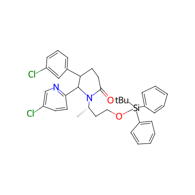 C[C@@H](CCO[Si](c1ccccc1)(c1ccccc1)C(C)(C)C)N1C(=O)CCC(c2cccc(Cl)c2)C1c1ccc(Cl)cn1